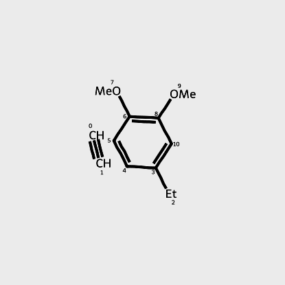 C#C.CCc1ccc(OC)c(OC)c1